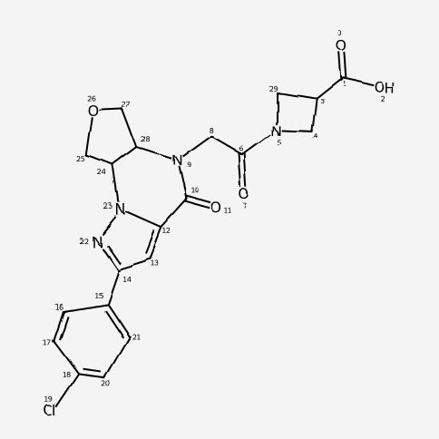 O=C(O)C1CN(C(=O)CN2C(=O)c3cc(-c4ccc(Cl)cc4)nn3C3COCC32)C1